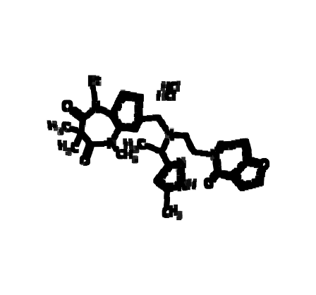 CCN1C(=O)C(C)(C)C(=O)N(C)c2cc(CN(CCn3ccc4occc4c3=O)C(C)c3cc(C)[nH]n3)ccc21.Cl.Cl